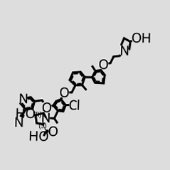 Cc1c(COc2cc(OCc3cncc(C#N)c3)c(C(C)N3C[C@H](O)C[C@H]3C(=O)O)cc2Cl)cccc1-c1cccc(OCCCN2CCC(O)C2)c1C